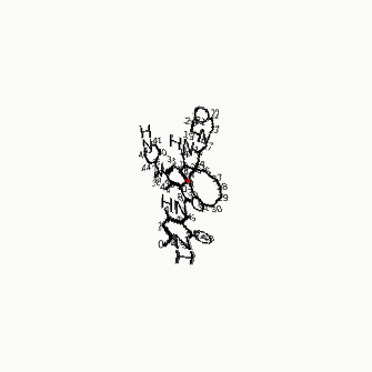 Cc1cc(C)c(CNC(=O)c2cc(C3CNC(CN4CCOCC4)CC34CCCCCCCCC4)cc(N(C)C3CCNCC3)c2C)c(=O)[nH]1